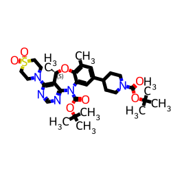 Cc1cc(C2CCN(C(=O)OC(C)(C)C)CC2)cc2c1O[C@@H](C)c1c(N3CCS(=O)(=O)CC3)ncnc1N2C(=O)OC(C)(C)C